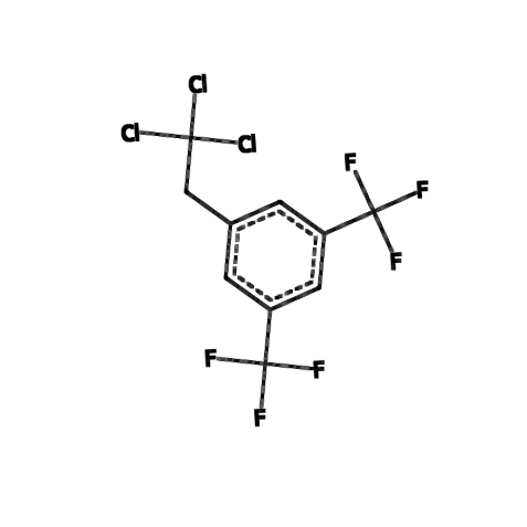 FC(F)(F)c1cc(CC(Cl)(Cl)Cl)cc(C(F)(F)F)c1